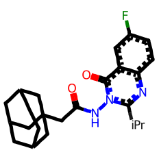 CC(C)c1nc2ccc(F)cc2c(=O)n1NC(=O)CC12CC3CC(CC(C3)C1)C2